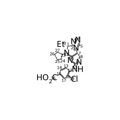 CC[C@@H]1c2nncn2-c2cnc(Nc3ccc(C(=O)O)cc3Cl)nc2N1C1CCCC1